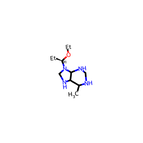 CCO[C@H](CC)N1CNC2C(C)NCNC21